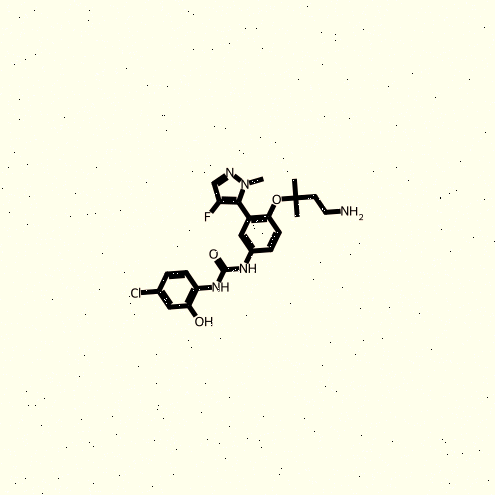 Cn1ncc(F)c1-c1cc(NC(=O)Nc2ccc(Cl)cc2O)ccc1OC(C)(C)CCN